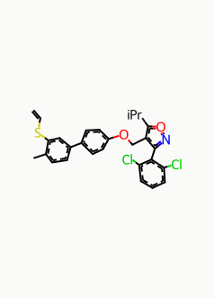 C=CSc1cc(-c2ccc(OCc3c(-c4c(Cl)cccc4Cl)noc3C(C)C)cc2)ccc1C